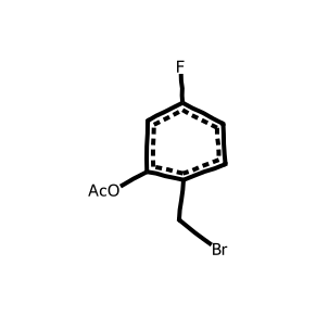 CC(=O)Oc1cc(F)ccc1CBr